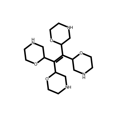 C1COC(C(=C(C2CNCCO2)C2CNCCO2)C2CNCCO2)CN1